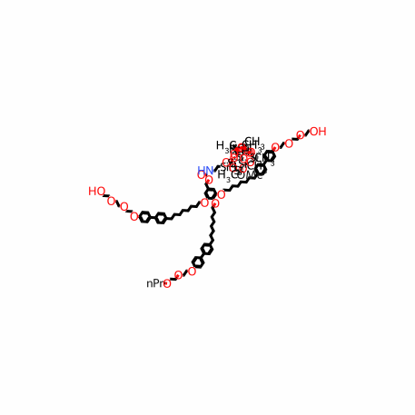 CCCOCCOCCOc1ccc(-c2ccc(CCCCCCCCOc3c(OCCCCCCCCc4ccc(-c5ccc(OCCOCCOCCO)cc5)cc4)cc(COC(=O)NCC[SiH2]O[Si]45O[Si](C)(OC)O[Si]6(C)O[Si]7(C)O[SiH](C)O[Si](C)(O[Si](C)(O7)O[Si](C)(O6)O4)O5)cc3OCCCCCCCCc3ccc(-c4ccc(OCCOCCOCCO)cc4)cc3)cc2)cc1